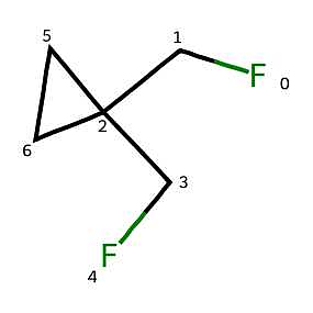 FCC1(CF)CC1